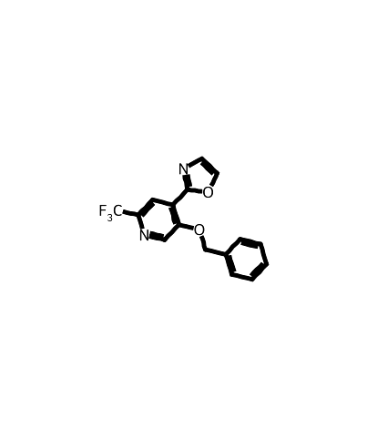 FC(F)(F)c1cc(-c2ncco2)c(OCc2ccccc2)cn1